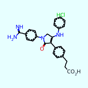 Cl.N=C(N)c1ccc(N2CC(Nc3ccccc3)=C(c3ccc(CCC(=O)O)cc3)C2=O)cc1